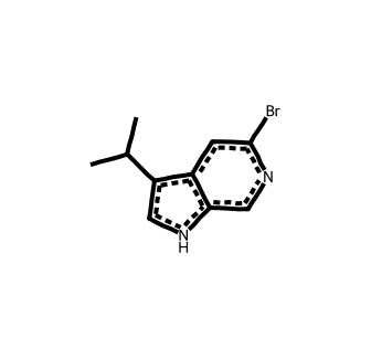 CC(C)c1c[nH]c2cnc(Br)cc12